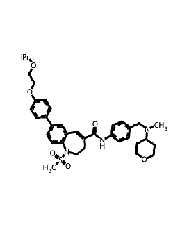 CC(C)OCCOc1ccc(-c2ccc3c(c2)C=C(C(=O)Nc2ccc(CN(C)C4CCOCC4)cc2)CCN3S(C)(=O)=O)cc1